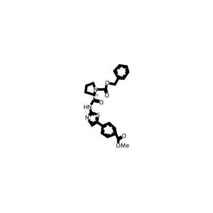 COC(=O)c1ccc(-c2cnc(NC(=O)[C@@H]3CCCN3C(=O)OCc3ccccc3)s2)cc1